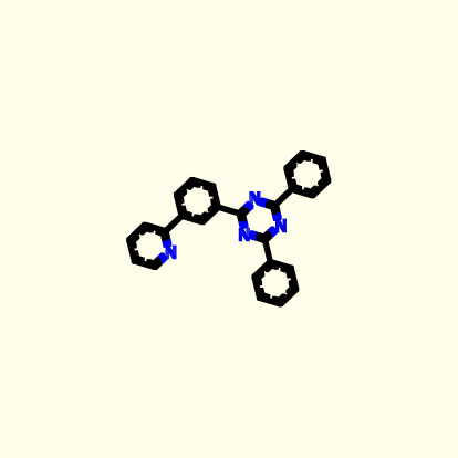 c1ccc(-c2nc(-c3ccccc3)nc(-c3cccc(-c4ccccn4)c3)n2)cc1